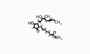 CCC#CC[C@H](C)[C@@H](O)/C=C/[C@H]1[C@H](O)CC(=O)[C@@H]1CCSCCCC(=O)OC